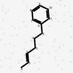 CC=CCCCc1ccccc1